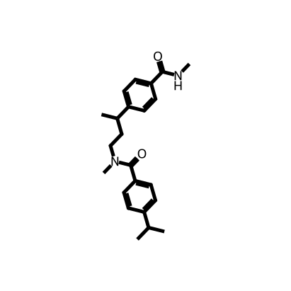 CNC(=O)c1ccc(C(C)CCN(C)C(=O)c2ccc(C(C)C)cc2)cc1